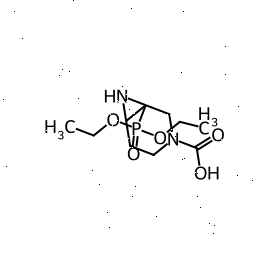 CCOP(=O)(OCC)C12CN(C(=O)O)CCC1N2